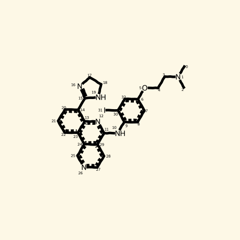 CN(C)CCOc1ccc(Nc2nc3c(C4=NCCN4)cccc3c3cnccc23)c(I)c1